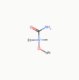 CCCO[N+](C)(CC)C(N)=O